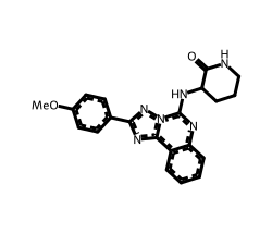 COc1ccc(-c2nc3c4ccccc4nc(NC4CCCNC4=O)n3n2)cc1